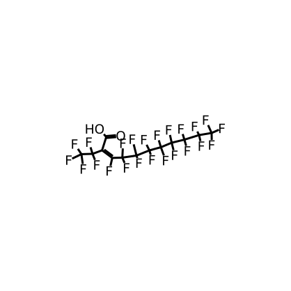 O=C(O)C(=C(F)C(F)(F)C(F)(F)C(F)(F)C(F)(F)C(F)(F)C(F)(F)C(F)(F)C(F)(F)F)C(F)(F)C(F)(F)F